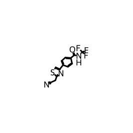 N#CCc1nc(-c2ccc(C(=O)NC(F)(F)F)cc2)cs1